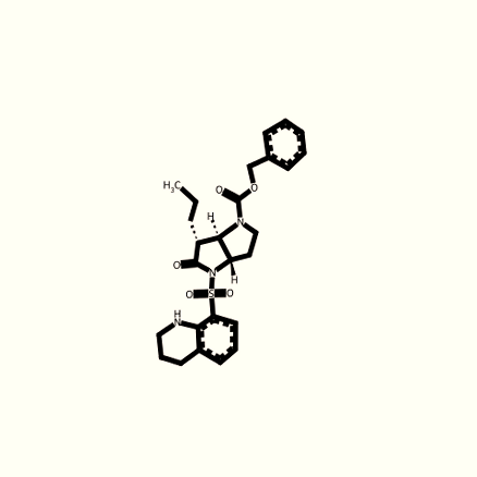 CCC[C@H]1C(=O)N(S(=O)(=O)c2cccc3c2NCCC3)[C@H]2CCN(C(=O)OCc3ccccc3)[C@H]12